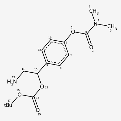 CN(C)C(=O)Oc1ccc(C(CN)OC(=O)OC(C)(C)C)cc1